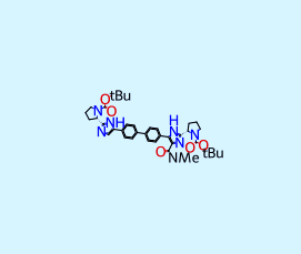 CNC(=O)c1nc([C@@H]2CCCN2C(=O)OC(C)(C)C)[nH]c1-c1ccc(-c2ccc(-c3cnc([C@@H]4CCCN4C(=O)OC(C)(C)C)[nH]3)cc2)cc1